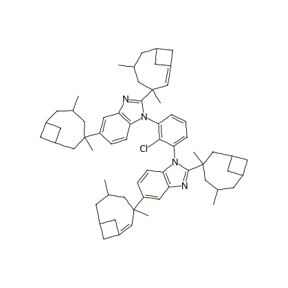 CC1CC2CC(=CC(C)(c3ccc4c(c3)nc(C3(C)CC(C)CC5CC(C5)C3)n4-c3cccc(-n4c(C5(C)C=C6CC(C6)CC(C)C5)nc5cc(C6(C)CC(C)CC7CC(C7)C6)ccc54)c3Cl)C1)C2